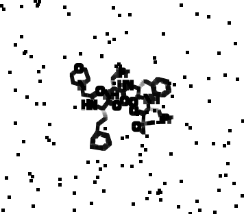 CC(C)C[C@@H](NC(=O)[C@H](CCc1ccccc1)NC(=O)CN1CCOCC1)C(=O)N[C@H](Cc1ccccc1)C(=O)N[C@H](CC(C)C)C(=O)[C@]1(C)CO1